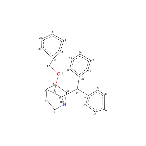 c1ccc(COC2C3CCN(CC3)C2C(c2ccccc2)c2ccccc2)cc1